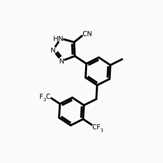 Cc1cc(Cc2cc(C(F)(F)F)ccc2C(F)(F)F)cc(-c2nn[nH]c2C#N)c1